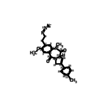 COc1cc2c(cc1CCN=[N+]=[N-])N(C)C(=O)[C@@H]1C=C(c3ccc(C)cc3)CN1C2=O